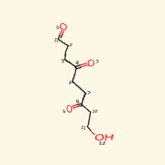 O=[C]CCC(=O)CCC(=O)CCO